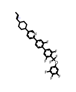 C/C=C/C1CCC(c2ccc(-c3ccc(-c4cc(F)c(C(F)(F)Oc5cc(F)c(F)c(F)c5)c(F)c4)c(F)c3)nc2)CC1